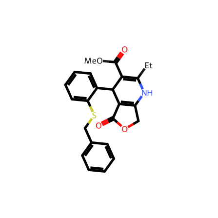 CCC1=C(C(=O)OC)C(c2ccccc2SCc2ccccc2)C2=C(COC2=O)N1